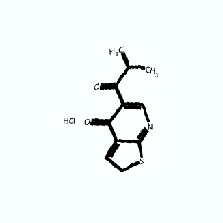 CC(C)C(=O)C1=CN=C2SCC=C2C1=O.Cl